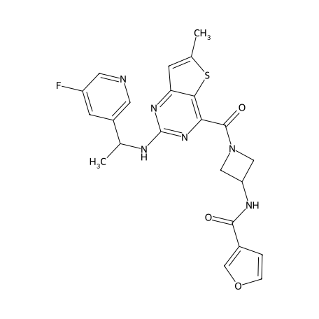 Cc1cc2nc(NC(C)c3cncc(F)c3)nc(C(=O)N3CC(NC(=O)c4ccoc4)C3)c2s1